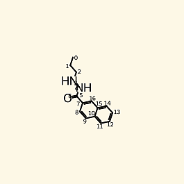 CCCNNC(=O)c1ccc2ccccc2c1